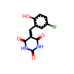 O=C1NC(=O)C(=Cc2cc(Br)ccc2O)C(=O)N1